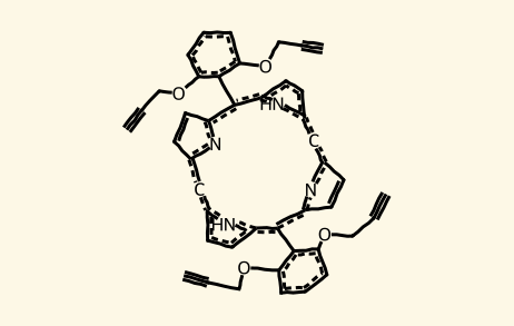 C#CCOc1cccc(OCC#C)c1-c1c2nc(cc3ccc([nH]3)c(-c3c(OCC#C)cccc3OCC#C)c3nc(cc4ccc1[nH]4)C=C3)C=C2